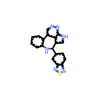 c1ccc2c(c1)NC(c1ccc3nsnc3c1)c1c[nH]c3nncc-2c13